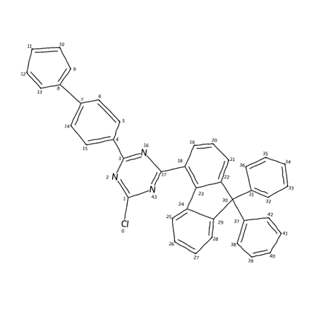 Clc1nc(-c2ccc(-c3ccccc3)cc2)nc(-c2cccc3c2-c2ccccc2C3(c2ccccc2)c2ccccc2)n1